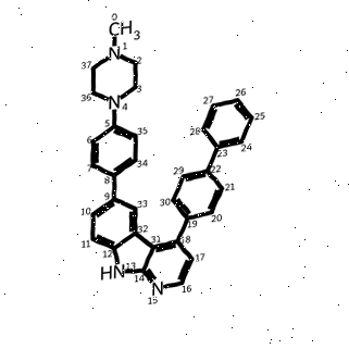 CN1CCN(c2ccc(-c3ccc4[nH]c5nccc(-c6ccc(-c7ccccc7)cc6)c5c4c3)cc2)CC1